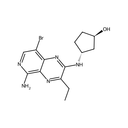 CCc1nc2c(N)ncc(Br)c2nc1N[C@@H]1CC[C@@H](O)C1